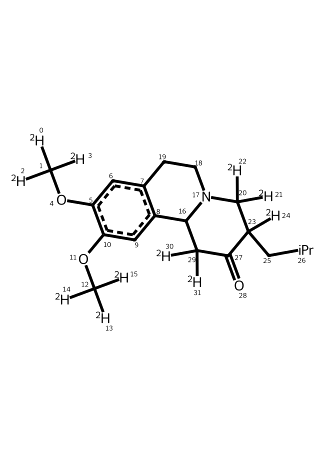 [2H]C([2H])([2H])Oc1cc2c(cc1OC([2H])([2H])[2H])C1N(CC2)C([2H])([2H])C([2H])(CC(C)C)C(=O)C1([2H])[2H]